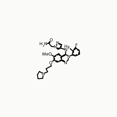 COc1cc2c(cc1OCCCN1CCCC1)=NCN(c1cccc(F)c1F)C=2Nc1cnn(CC(N)=O)c1